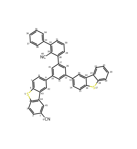 N#Cc1ccc2sc3ccc(-c4cc(-c5ccc6sc7ccccc7c6c5)cc(-c5cccc(-c6ccccc6)c5C#N)c4)cc3c2c1